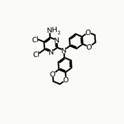 Nc1nc(N(c2ccc3c(c2)OCCO3)c2ccc3c(c2)OCCO3)nc(Cl)c1Cl